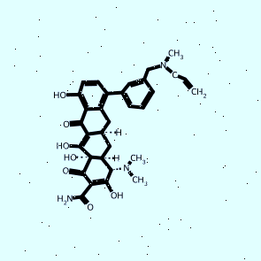 C=CCN(C)Cc1cccc(-c2ccc(O)c3c2C[C@H]2C[C@H]4[C@H](N(C)C)C(O)=C(C(N)=O)C(=O)[C@@]4(O)C(O)=C2C3=O)c1